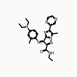 CCNC(=O)C1=Nn2c(nc(-c3cnccn3)c2C)/C1=N\c1ccc(N(CC)CC)cc1C